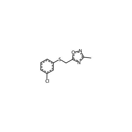 Cc1noc(CSc2cccc(Cl)c2)n1